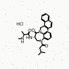 CNC(C)C(=O)N[C@H]1CN(C(=O)CC(C)C)c2ccccc2N(Cc2c(C)ccc3ccccc23)C1=O.Cl